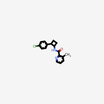 Cc1cccnc1C(=O)NC1CCC1c1ccc(Cl)cc1